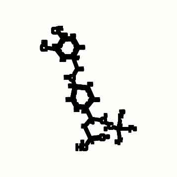 O=C(O)CC(OCC(F)(F)F)c1ccc(OCc2ccc(Cl)c(Cl)c2)cc1